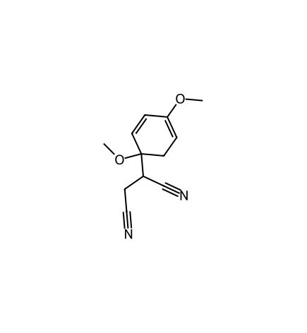 COC1=CCC(OC)(C(C#N)CC#N)C=C1